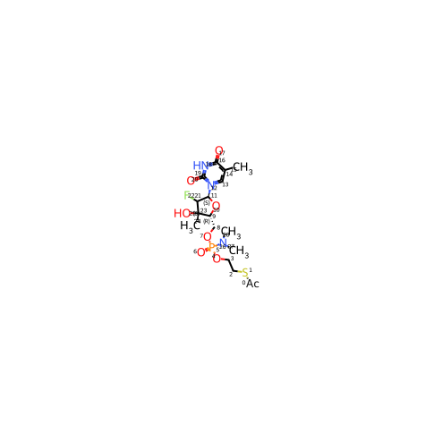 CC(=O)SCCOP(=O)(OC[C@H]1O[C@H](n2cc(C)c(=O)[nH]c2=O)C(F)[C@@]1(C)O)N(C)C